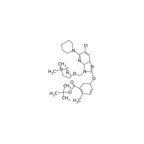 CC1=C(C(=O)OC(C)(C)C)CC(OC2=NC3C=C(Cl)C(N4CCCCC4)=NC3N2COCC[Si](C)(C)C)C=C1